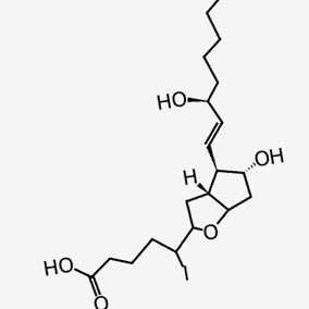 CCCCC[C@H](O)/C=C/[C@H]1[C@H](O)CC2OC(C(I)CCCC(=O)O)C[C@@H]21